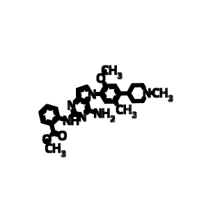 COC(=O)c1ccccc1Nc1nc(N)c2c(ccn2-c2cc(C)c(C3CCN(C)CC3)cc2OC)n1